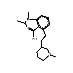 CNc1cccc(CCC2CCCN(C)C2)c1/C(N)=N\C(C)C